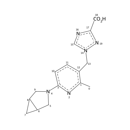 Cc1nc(N2CC3CC3C2)ccc1Cn1cnc(C(=O)O)n1